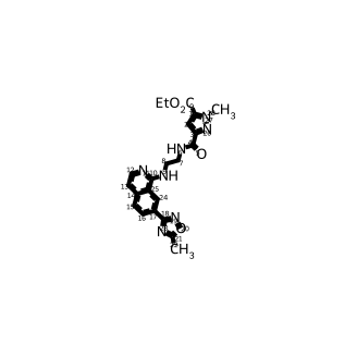 CCOC(=O)c1cc(C(=O)NCCNc2nccc3ccc(-c4noc(C)n4)cc23)nn1C